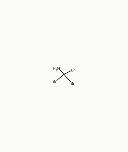 NC(Br)(Br)Br